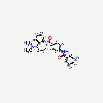 CN(C)C1CCCN(C(=O)c2ccc(NC(=O)c3cc(F)cc(F)c3)cc2)c2ccccc21